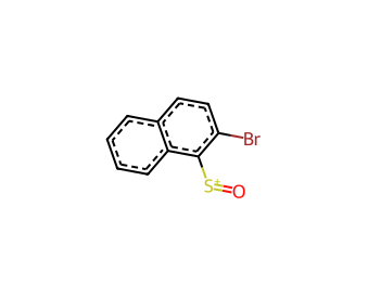 O=[S+]c1c(Br)ccc2ccccc12